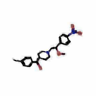 COC(CN1CCC(C(=O)c2ccc(C)cc2)CC1)c1ccc([N+](=O)[O-])cc1